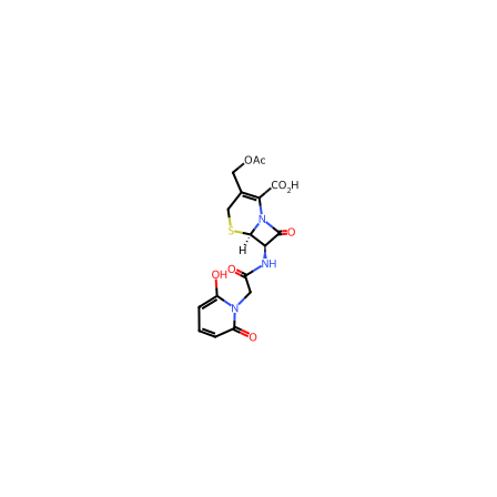 CC(=O)OCC1=C(C(=O)O)N2C(=O)[C@@H](NC(=O)Cn3c(O)cccc3=O)[C@H]2SC1